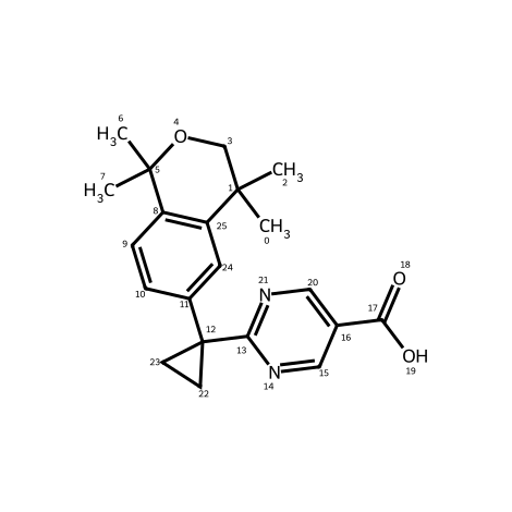 CC1(C)COC(C)(C)c2ccc(C3(c4ncc(C(=O)O)cn4)CC3)cc21